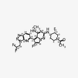 CNc1nc(N[C@H]2CCN(C(C)=O)C[C@H]2F)nn2cc(F)c(-c3ccc4nnn(CC(F)F)c4n3)c12